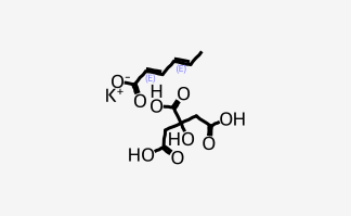 C/C=C/C=C/C(=O)[O-].O=C(O)CC(O)(CC(=O)O)C(=O)O.[K+]